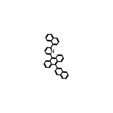 c1cc(-c2cccc3ccccc23)nc(-c2c3ccccc3c(-c3ccc4ccccc4c3)c3ccccc23)c1